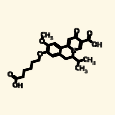 COc1cc2c(cc1OCCCCCC(=O)O)CC(C(C)C)n1cc(C(=O)O)c(=O)cc1-2